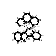 c1cnc2c(c1)ccc1cccc(-n3cc4c5ccccc5nc-4c4ccccc43)c12